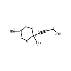 CC(C)(C)N1CCC(O)(C#CCO)CC1